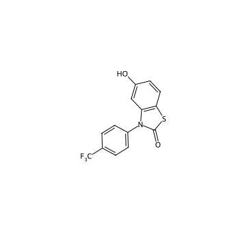 O=c1sc2ccc(O)cc2n1-c1ccc(C(F)(F)F)cc1